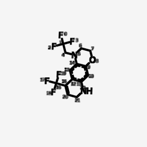 FC(F)(F)CN1CCOc2cc3c(cc21)C(C(F)(F)F)=CCN3